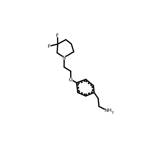 NCCc1ccc(OCCN2CCCC(F)(F)C2)cc1